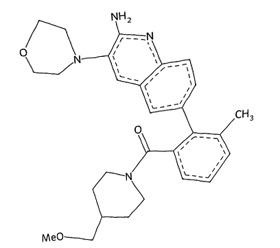 COCC1CCN(C(=O)c2cccc(C)c2-c2ccc3nc(N)c(N4CCOCC4)cc3c2)CC1